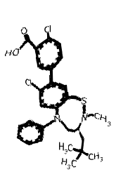 CN1Sc2cc(-c3ccc(Cl)c(C(=O)O)c3)c(Cl)cc2N(c2ccccc2)C[C@@H]1CC(C)(C)C